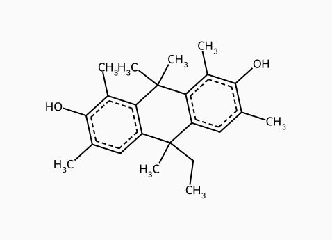 CCC1(C)c2cc(C)c(O)c(C)c2C(C)(C)c2c1cc(C)c(O)c2C